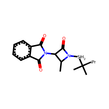 CC1C(N2C(=O)c3ccccc3C2=O)C(=O)N1[SiH2]C(C)(C)C(C)C